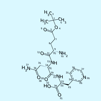 CC(C)(C)OC(=O)CC[C@H](N)C(=O)N[C@@H](CC(N)=O)C(=O)N[C@@H](Cc1cccnc1)C(=O)O